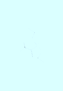 CCOP(=O)(OCC)C(C)C(=O)Cl